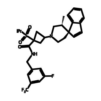 CC(C)S(=O)(=O)C1(C(=O)NCc2cc(F)cc(C(F)(F)F)c2)CC(N2CC[C@@]3(C=Cc4ccccc43)[C@@H](C)C2)C1